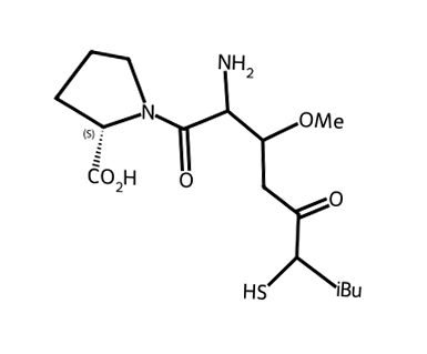 CCC(C)C(S)C(=O)CC(OC)C(N)C(=O)N1CCC[C@H]1C(=O)O